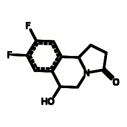 O=C1CCC2c3cc(F)c(F)cc3C(O)CN12